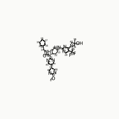 COc1ncc(-c2cnc(N(C(=O)NCc3ccccc3)[C@H]3CC[C@H](Nc4ncc(C(F)(F)F)c(N5CC(C)(O)C5)n4)CC3)nc2)cn1